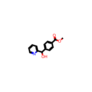 COC(=O)c1ccc(C(O)c2ccccn2)cc1